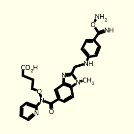 Cn1c(CNc2ccc(C(=N)ON)cc2)nc2cc(C(=O)N(OCCCC(=O)O)c3ccccn3)ccc21